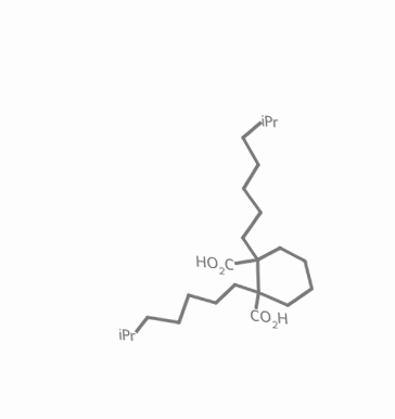 CC(C)CCCCCC1(C(=O)O)CCCCC1(CCCCCC(C)C)C(=O)O